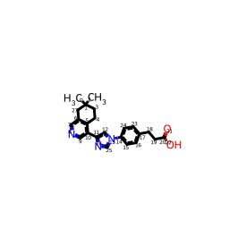 CC1(C)CCc2c(cncc2-c2cn(-c3ccc(CCC(=O)O)cc3)cn2)C1